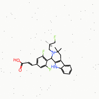 C[C@H](CF)CN1C(c2c(F)cc(C=CC(=O)O)cc2F)c2[nH]c3ccccc3c2CC1(C)C